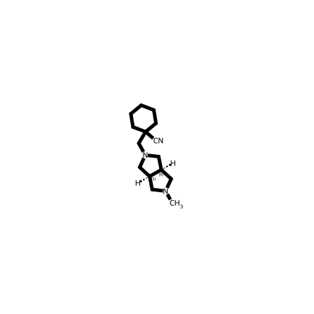 CN1C[C@@H]2CN(CC3(C#N)CCCCC3)C[C@@H]2C1